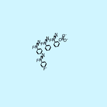 N#[N+]N(F)c1ccccc1.N#[N+]N(F)c1ccccc1.N#[N+]N(F)c1ccccc1.N#[N+]N(F)c1ccccc1.[F-].[O-]B([O-])[O-]